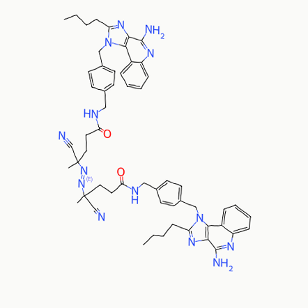 CCCCc1nc2c(N)nc3ccccc3c2n1Cc1ccc(CNC(=O)CCC(C)(C#N)/N=N/C(C)(C#N)CCC(=O)NCc2ccc(Cn3c(CCCC)nc4c(N)nc5ccccc5c43)cc2)cc1